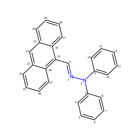 C(=NN(c1ccccc1)c1ccccc1)c1c2ccccc2cc2ccccc12